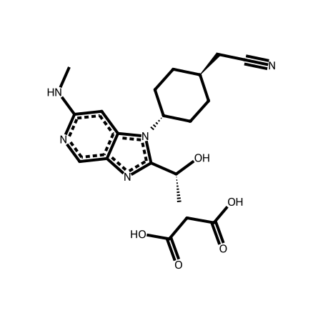 CNc1cc2c(cn1)nc([C@@H](C)O)n2[C@H]1CC[C@H](CC#N)CC1.O=C(O)CC(=O)O